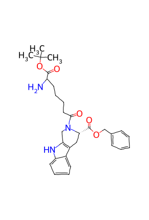 CC(C)(C)OC(=O)C(N)CCCCC(=O)N1Cc2[nH]c3ccccc3c2C[C@H]1C(=O)OCc1ccccc1